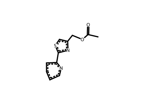 CC(=O)OCc1csc(-c2ccccn2)n1